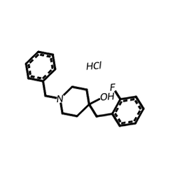 Cl.OC1(Cc2ccccc2F)CCN(Cc2ccccc2)CC1